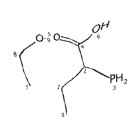 CCC(P)C(=O)O.CC[O]